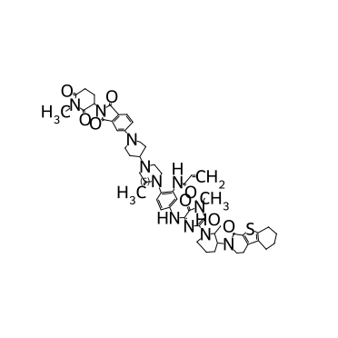 C=CC(=O)Nc1cc(Nc2nc(N3CCCC(N4CCc5c(sc6c5CCCC6)C4=O)C3CO)cn(C)c2=O)ccc1N1CCN(C2CCN(c3ccc4c(c3)C(=O)N(C3CCC(=O)N(C)C3=O)C4=O)CC2)C[C@@H]1C